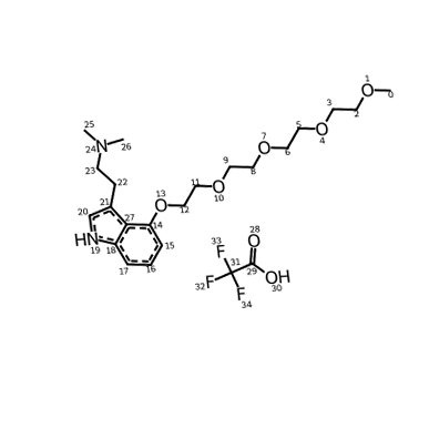 COCCOCCOCCOCCOc1cccc2[nH]cc(CCN(C)C)c12.O=C(O)C(F)(F)F